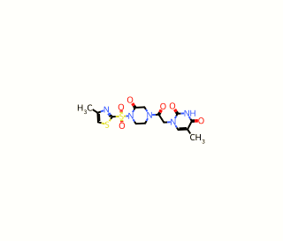 Cc1csc(S(=O)(=O)N2CCN(C(=O)Cn3cc(C)c(=O)[nH]c3=O)CC2=O)n1